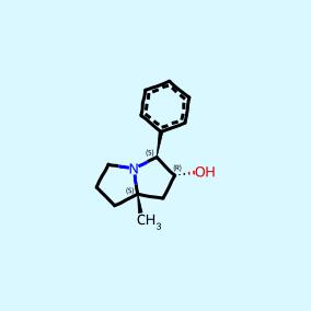 C[C@@]12CCCN1[C@@H](c1ccccc1)[C@H](O)C2